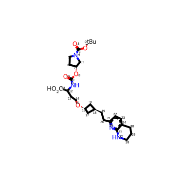 CC(C)(C)OC(=O)N1CC[C@@H](OC(=O)NC(CCO[C@H]2C[C@H](CCc3ccc4c(n3)NCCC4)C2)C(=O)O)C1